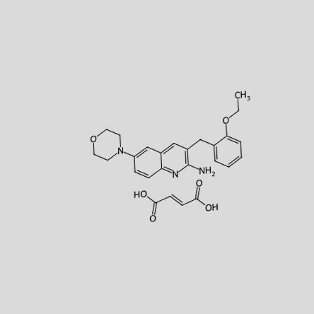 CCOc1ccccc1Cc1cc2cc(N3CCOCC3)ccc2nc1N.O=C(O)/C=C/C(=O)O